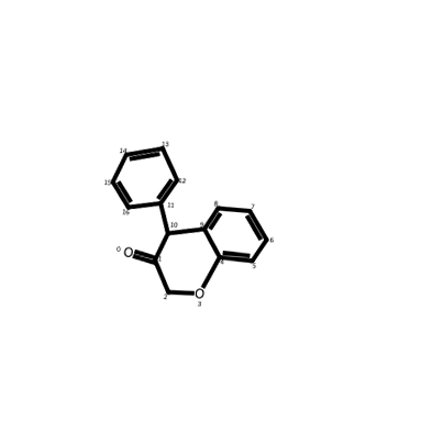 O=C1COc2ccccc2C1c1ccccc1